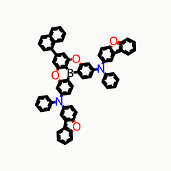 c1ccc(N(c2ccc3c(c2)Oc2cc(-c4cccc5ccccc45)cc4c2B3c2ccc(N(c3ccccc3)c3ccc5oc6ccccc6c5c3)cc2O4)c2ccc3oc4ccccc4c3c2)cc1